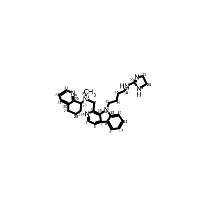 CN(Cc1nccc2c3ccccc3n(CCCCNC3=NCCN3)c12)C1CCCc2cccnc21